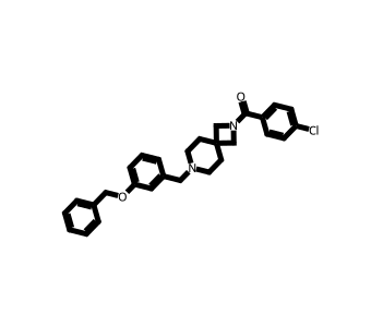 O=C(c1ccc(Cl)cc1)N1CC2(CCN(Cc3cccc(OCc4ccccc4)c3)CC2)C1